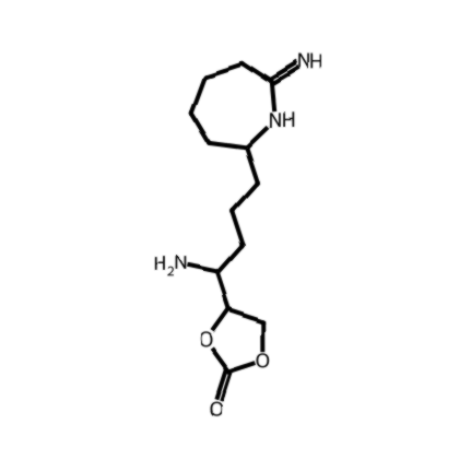 N=C1CCCCC(CCCC(N)C2COC(=O)O2)N1